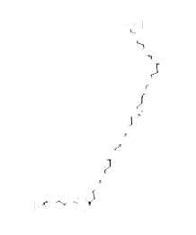 O=C(CCSCSCCC[S+]([O-])CCSCSCCSC(=O)CCSCSCCC(=O)OCSCCSCO)OCSCCSCO